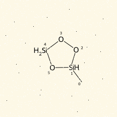 C[SiH]1OO[SiH2]O1